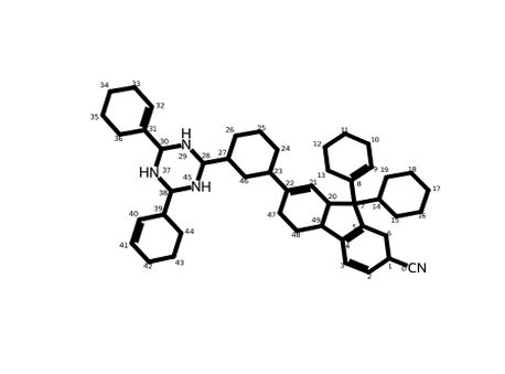 N#CC1C=CC2=C(C1)C(C1=CCCCC1)(C1CCCCC1)C1C=C(C3CCCC(C4NC(C5=CCCCC5)NC(C5C=CCCC5)N4)C3)CCC21